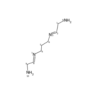 NCC=NCCCN=CCN